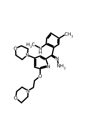 CNc1ccc(C)cc1C(=NN)c1cc(N2CCOCC2)cc(OCCN2CCOCC2)n1